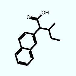 CCC(C)C(C(=O)O)c1ccc2ccccc2c1